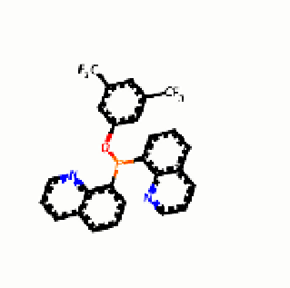 FC(F)(F)c1cc(OP(c2cccc3cccnc23)c2cccc3cccnc23)cc(C(F)(F)F)c1